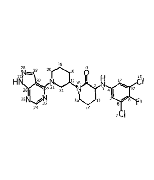 O=C1C(Nc2cc(Cl)c(F)c(Cl)c2)CCCN1C1CCCN(c2ncnc3[nH]ncc23)C1